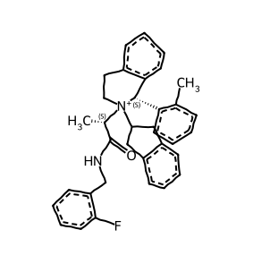 Cc1ccccc1[C@H]1c2ccccc2CC[N+]1(C1Cc2ccccc2C1)[C@@H](C)C(=O)NCc1ccccc1F